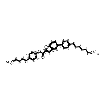 CCCCCCCc1ccc(-c2ccc3oc(C(=O)Oc4ccc(CCCCC)cc4)cc3c2)cc1